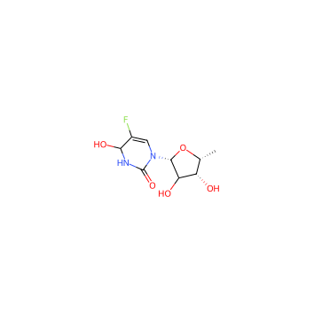 C[C@H]1O[C@@H](N2C=C(F)C(O)NC2=O)C(O)[C@H]1O